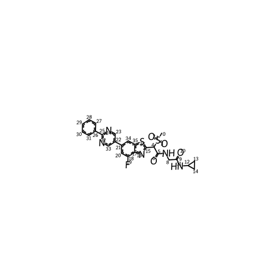 CS(=O)(=O)C(C(=O)NCC(=O)NC1CC1)c1nc2c(F)cc(-c3cnc(-c4ccccc4)nc3)cc2s1